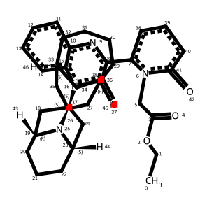 CCOC(=O)Cn1c(-c2nc3ccccc3n([C@@H]3C[C@H]4CCC[C@@H](C3)N4[C@@H]3C[C@@H]4CCCC[C@@H](C4)C3)c2=O)cccc1=O